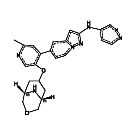 Cc1cc(-c2ccn3nc(Nc4ccnnc4)cc3c2)c(OC2C[C@H]3COC[C@@H](C2)N3)cn1